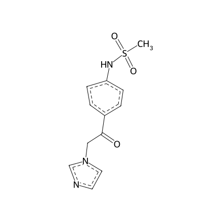 CS(=O)(=O)Nc1ccc(C(=O)Cn2ccnc2)cc1